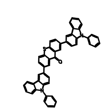 O=c1c2cc(-c3ccc4c(c3)c3ccccc3n4-c3ccccc3)ccc2sc2ccc(-c3ccc4c(c3)c3ccccc3n4-c3ccccc3)cc12